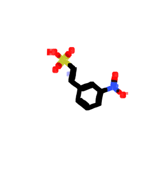 O=[N+]([O-])c1cccc(/C=C/S(=O)(=O)O)c1